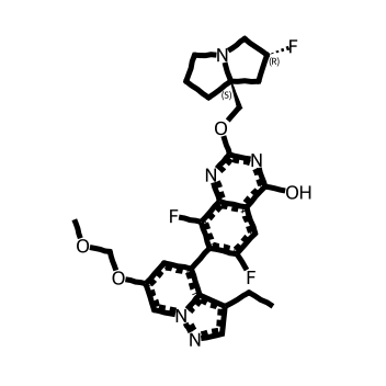 CCc1cnn2cc(OCOC)cc(-c3c(F)cc4c(O)nc(OC[C@@]56CCCN5C[C@H](F)C6)nc4c3F)c12